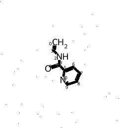 C=CNC(=O)c1ccccn1